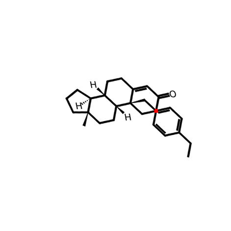 CCc1ccc(C[C@]23CCC(=O)C=C2CC[C@@H]2[C@H]3CC[C@]3(C)CCC[C@@H]23)cc1